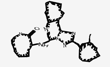 Cc1ccccc1-c1nc2c3ccccc3nc(Nc3ccccnc3=O)n2n1